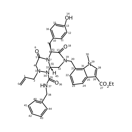 C=CCN1CC(=O)N2[C@@H](Cc3ccc(O)cc3)C(=O)N(Cc3cccc4c(C(=O)OCC)cn(C)c34)C[C@@H]2N1C(=O)NCc1ccccc1